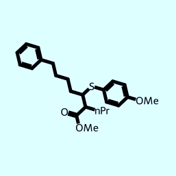 CCCC(C(=O)OC)C(CCCCc1ccccc1)Sc1ccc(OC)cc1